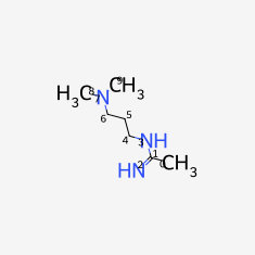 CC(=N)NCCCN(C)C